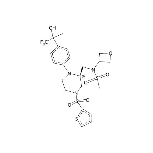 CC(O)(c1ccc(N2CCN(S(=O)(=O)c3cccs3)C[C@@H]2CN(C2COC2)S(C)(=O)=O)cc1)C(F)(F)F